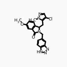 COc1ccc2c(c1)C(=O)N(Cc1ccc3[nH]nnc3c1)C2Cc1c(Cl)cnn1C